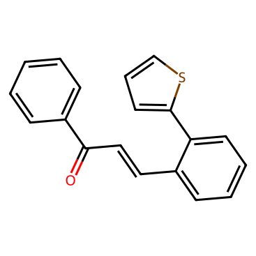 O=C(C=Cc1ccccc1-c1cccs1)c1ccccc1